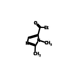 CCC(=O)c1cnc(C)n1C